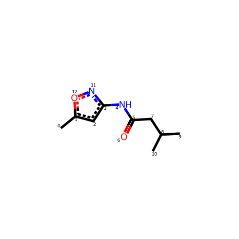 Cc1cc(NC(=O)CC(C)C)no1